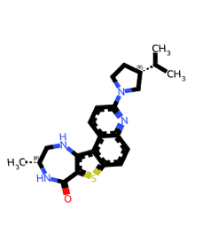 CC(C)[C@H]1CCN(c2ccc3c(ccc4sc5c(c43)NC[C@@H](C)NC5=O)n2)C1